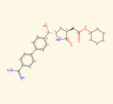 N=C(N)c1ccc(-c2ccc(C(O)[C@@H]3C[C@@H](CC(=O)OC4CCCCC4)C(=O)N3)cc2)cc1